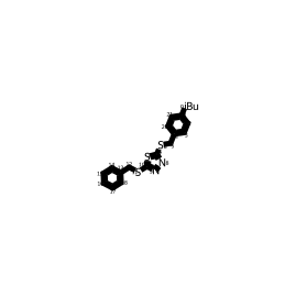 CCC(C)c1ccc(CSc2nnc(SCc3ccccc3)s2)cc1